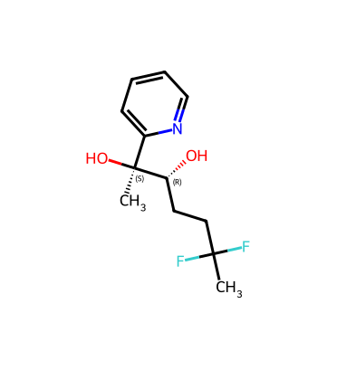 CC(F)(F)CC[C@@H](O)[C@@](C)(O)c1ccccn1